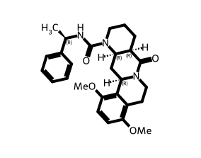 COc1ccc(OC)c2c1CCN1C(=O)[C@@H]3CCCN(C(=O)N[C@H](C)c4ccccc4)[C@@H]3C[C@H]21